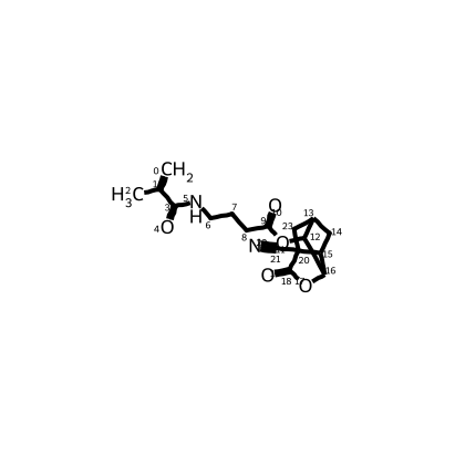 C=C(C)C(=O)NCCCC(=O)OC1C2CC3C1OC(=O)C3(C#N)C2